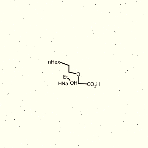 CCCCCCCCOCC(=O)O.CCO.[NaH]